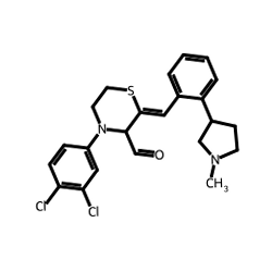 CN1CCC(c2ccccc2C=C2SCCN(c3ccc(Cl)c(Cl)c3)C2C=O)C1